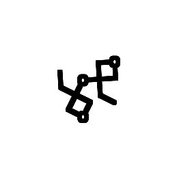 CCC1(OC2(CC)COC2)COC1